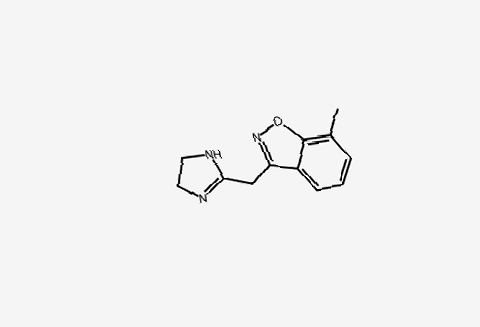 Cc1cccc2c(CC3=NCCN3)noc12